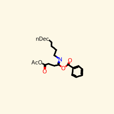 CCCCCCCCCCCCCCN=C(CCC(=O)OC(C)=O)OC(=O)c1ccccc1